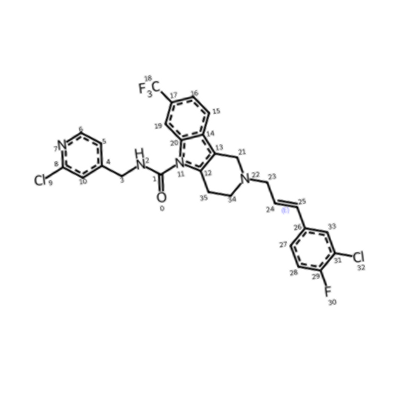 O=C(NCc1ccnc(Cl)c1)n1c2c(c3ccc(C(F)(F)F)cc31)CN(C/C=C/c1ccc(F)c(Cl)c1)CC2